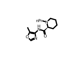 CCCN1CCCC[C@H]1C(=O)Nc1ncoc1C